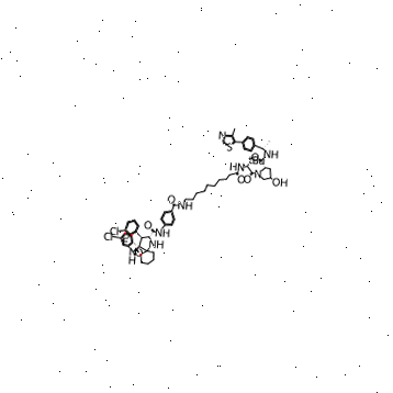 Cc1ncsc1-c1ccc([C@H](C)NC(=O)[C@@H]2C[C@@H](O)CN2C(=O)[C@@H](NC(=O)CCCCCCCCCNC(=O)c2ccc(NC(=O)[C@@H]3NC4(CCCCC4)[C@@]4(C(=O)Nc5cc(Cl)ccc54)[C@H]3c3cccc(Cl)c3F)cc2)C(C)(C)C)cc1